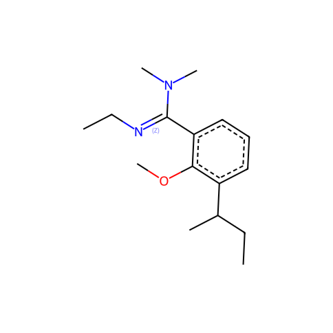 CC/N=C(/c1cccc(C(C)CC)c1OC)N(C)C